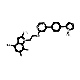 Cc1cc(F)c(F)c2c1cc(C)n2CCNc1cc(-c2ccc(-c3cncn3C)cc2)ncn1